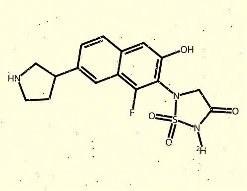 [2H]N1C(=O)CN(c2c(O)cc3ccc(C4CCNC4)cc3c2F)S1(=O)=O